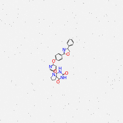 O=C1NC(=O)C2(CCCN2c2ccc(Oc3ccc(C4=NC(c5ccccc5)CO4)cc3)nc2)C(=O)N1